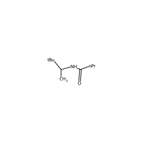 CCCC(=O)NC(C)C(C)(C)C